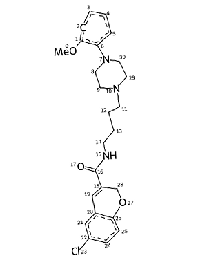 COc1ccccc1N1CCN(CCCCNC(=O)C2=Cc3cc(Cl)ccc3OC2)CC1